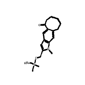 Cn1c(CO[Si](C)(C)C(C)(C)C)cc2cc3c(cc21)CCCCCC3=O